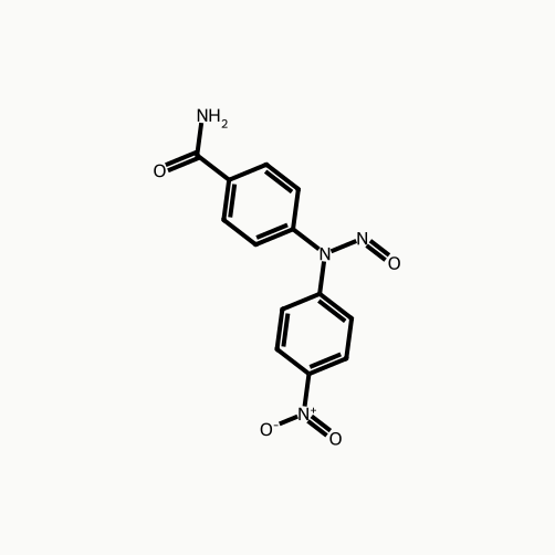 NC(=O)c1ccc(N(N=O)c2ccc([N+](=O)[O-])cc2)cc1